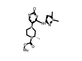 Cc1cc(Nc2nc(Cl)ncc2N2CCN(C(=O)OC(C)(C)C)[C@@H](C)C2)nn1C